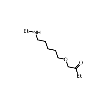 CCNCCCCCOCC(=O)CC